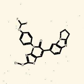 CCOc1nc2c(cc(-c3ccc4nc5n(c4c3)CCC5)c(=O)n2-c2ccc(OC(F)F)cc2)s1